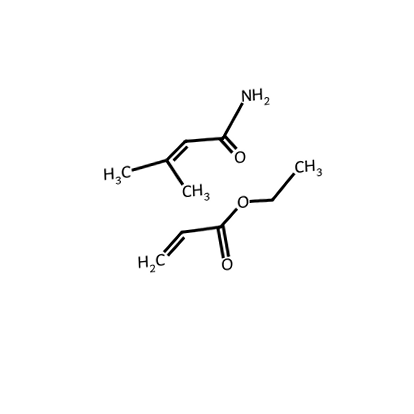 C=CC(=O)OCC.CC(C)=CC(N)=O